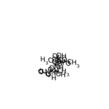 COC(=O)CC(=O)OB(OCC(=O)O)[C@H](CC(C)C)NC(=O)C(NC(=O)c1cccc(-c2ccccc2)n1)[C@@H](C)O